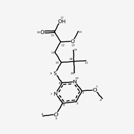 COc1cc(OC)nc(SC(CC(OC)C(=O)O)C(C)(C)C)n1